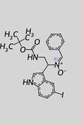 CC(C)(C)OC(=O)NCC(c1c[nH]c2ccc(I)cc12)/[N+]([O-])=C\c1ccccc1